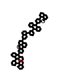 c1cc(-c2cccc3cc(-c4ccc5c6c(cccc46)-c4ccc(-c6c7ccccc7c(-c7ccccc7-c7cccc8ccccc78)c7ccccc67)cc4O5)ccc23)cc(-c2c3ccccc3c(-c3ccc4c(c3)Oc3cccc5cccc-4c35)c3ccccc23)c1